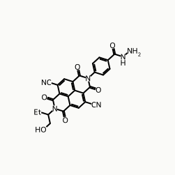 CCC(CO)N1C(=O)c2cc(C#N)c3c4c(cc(C#N)c(c24)C1=O)C(=O)N(c1ccc(C(=O)NN)cc1)C3=O